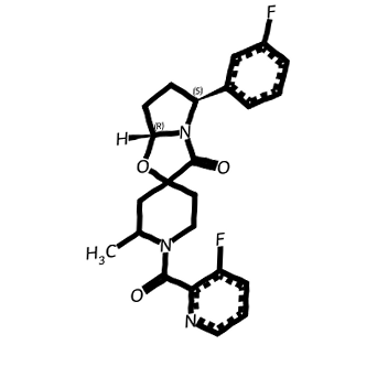 CC1CC2(CCN1C(=O)c1ncccc1F)O[C@@H]1CC[C@@H](c3cccc(F)c3)N1C2=O